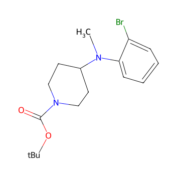 CN(c1ccccc1Br)C1CCN(C(=O)OC(C)(C)C)CC1